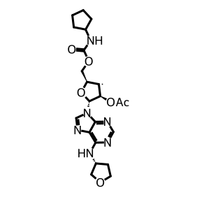 CC(=O)O[C@@H]1[CH][C@H](COC(=O)NC2CCCC2)O[C@H]1n1cnc2c(N[C@@H]3CCOC3)ncnc21